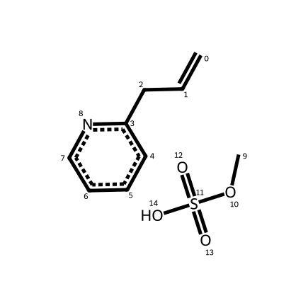 C=CCc1ccccn1.COS(=O)(=O)O